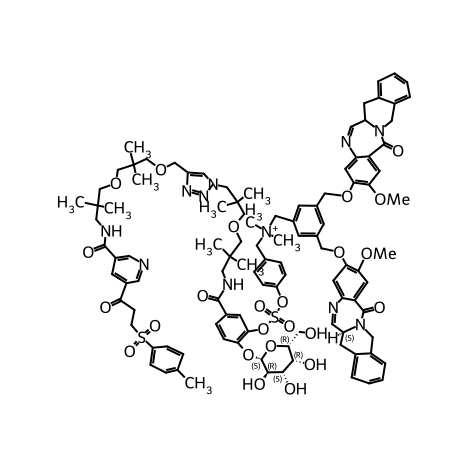 COc1cc2c(cc1OCc1cc(COc3cc4c(cc3OC)C(=O)N3Cc5ccccc5C[C@H]3C=N4)cc(C[N+](C)(C)Cc3ccc(OS(=O)(=O)Oc4cc(C(=O)NCC(C)(C)COCC(C)(C)Cn5cc(COCC(C)(C)COCC(C)(C)CNC(=O)c6cncc(C(=O)CCS(=O)(=O)c7ccc(C)cc7)c6)nn5)ccc4O[C@@H]4O[C@H](CO)[C@H](O)[C@H](O)[C@H]4O)cc3)c1)N=CC1Cc3ccccc3CN1C2=O